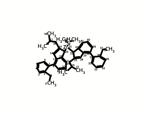 CCc1ccccc1-c1cccc2c1C=C(CC(C)C)[CH]2[Zr]([CH]1C(CC(C)C)=Cc2c(-c3ccccc3CC)cccc21)[SiH](C)C